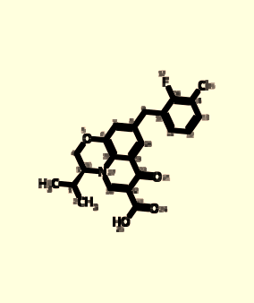 CC(C)[C@H]1COc2cc(Cc3cccc(Cl)c3F)cc3c(=O)c(C(=O)O)cn1c23